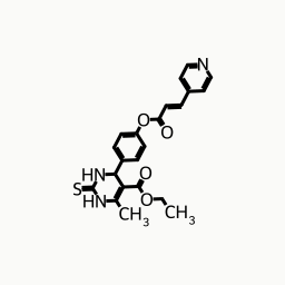 CCOC(=O)C1=C(C)NC(=S)NC1c1ccc(OC(=O)/C=C/c2ccncc2)cc1